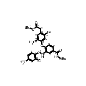 Cc1ccc(SNc2cc(C(=O)NC(C)(C)C)ccc2Oc2cc(F)c(CC(=O)OC(C)(C)C)cc2C)c(Cl)c1